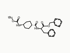 CC(C)(C)OC(=O)N[C@H]1CC[C@H](C(=O)NC(Cc2ccccc2)C(=O)OCc2ccccc2)CC1